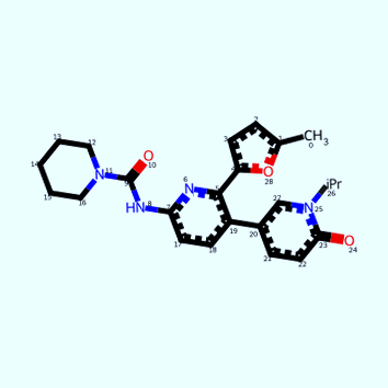 Cc1ccc(-c2nc(NC(=O)N3CCCCC3)ccc2-c2ccc(=O)n(C(C)C)c2)o1